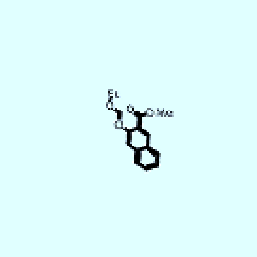 CCOCOc1cc2ccccc2cc1C(=O)OC